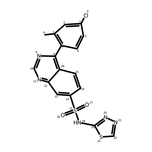 Cc1cc(Cl)ccc1-c1ncnc2cc(S(=O)(=O)Nc3nncs3)ccc12